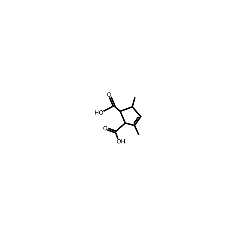 CC1=CC(C)C(C(=O)O)C1C(=O)O